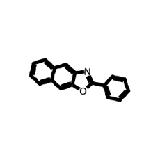 c1ccc(-c2nc3cc4ccccc4cc3o2)cc1